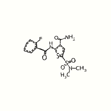 CN(C)S(=O)(=O)c1cc(C(N)=O)c(NC(=O)c2ccccc2F)s1